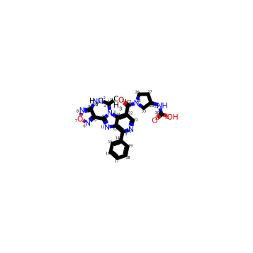 CC(C)n1c(-c2nonc2N)nc2c(-c3ccccc3)ncc(C(=O)N3CCC(NC(=O)O)C3)c21